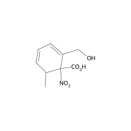 CC1C=CC=C(CO)C1(C(=O)O)[N+](=O)[O-]